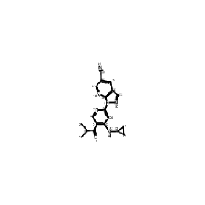 CC(C)C(=O)c1cnc(-n2ncc3cc(C#N)cnc32)cc1NC1CC1